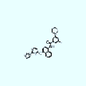 O=C(Nc1ccc(Oc2ccnc(-n3ccnc3)n2)c2ccccc12)c1cc(F)cc(N2CCCCC2)c1